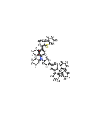 c1ccc(-c2ccccc2N(c2ccc(-c3ccc4c(c3)-c3ccccc3C4(c3ccccc3)c3ccccc3)cc2)c2ccc(-c3cccc4c3sc3ccccc34)cc2)cc1